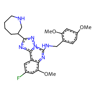 COc1ccc(CNc2nc3c(OC)cc(F)cc3c3nc(C4CCCCNC4)nn23)c(OC)c1